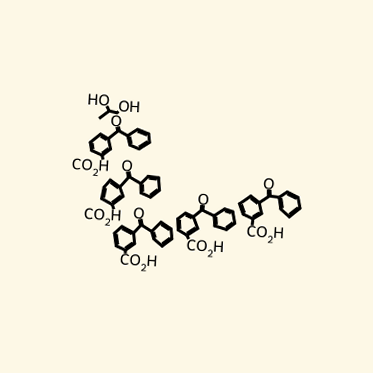 CC(O)CO.O=C(O)c1cccc(C(=O)c2ccccc2)c1.O=C(O)c1cccc(C(=O)c2ccccc2)c1.O=C(O)c1cccc(C(=O)c2ccccc2)c1.O=C(O)c1cccc(C(=O)c2ccccc2)c1.O=C(O)c1cccc(C(=O)c2ccccc2)c1